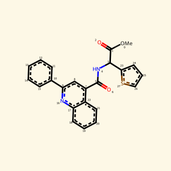 COC(=O)C(NC(=O)c1cc(-c2ccccc2)nc2ccccc12)c1cccs1